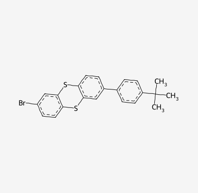 CC(C)(C)c1ccc(-c2ccc3c(c2)Sc2ccc(Br)cc2S3)cc1